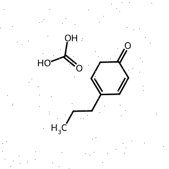 CCCC1=CCC(=O)C=C1.O=C(O)O